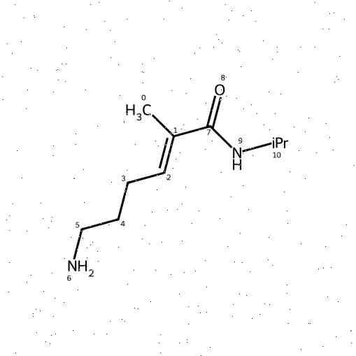 CC(=CCCCN)C(=O)NC(C)C